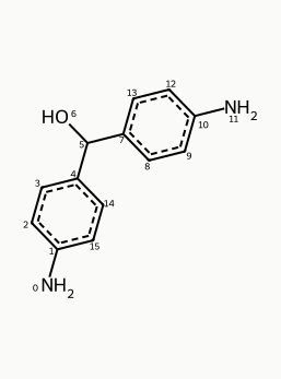 Nc1ccc(C(O)c2ccc(N)cc2)cc1